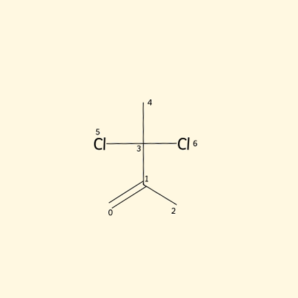 C=C(C)C(C)(Cl)Cl